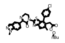 CCCCOOC(=O)Cc1c(C)cc2nc(N3CCN=C(c4ccc5c(cnn5C)c4)C3=O)sc2c1-c1ccc(Cl)cc1